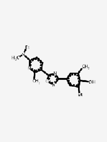 CCc1cc(-c2noc(-c3ccc(N(C)CC)nc3C)n2)cc(C)c1O